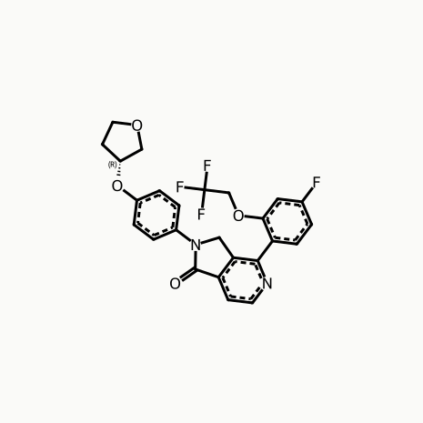 O=C1c2ccnc(-c3ccc(F)cc3OCC(F)(F)F)c2CN1c1ccc(O[C@@H]2CCOC2)cc1